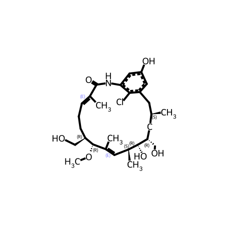 CO[C@H]1/C(C)=C/[C@H](C)[C@@H](O)[C@@H](CO)C[C@H](C)Cc2cc(O)cc(c2Cl)NC(=O)/C(C)=C/CC[C@@H]1CO